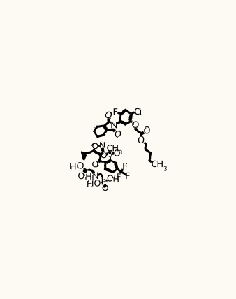 CCCCCOC(=O)COc1cc(N2C(=O)C3=C(CCCC3)C2=O)c(F)cc1Cl.CS(=O)(=O)c1cc(C(F)(F)F)ccc1C(=O)c1cnoc1C1CC1.O=C(O)CNCP(=O)(O)O